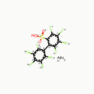 O=S(=O)(O)c1c(F)c(F)c(F)c(F)c1-c1c(F)c(F)c(F)c(F)c1F.[AlH3]